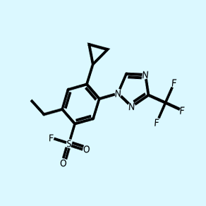 CCc1cc(C2CC2)c(-n2cnc(C(F)(F)F)n2)cc1S(=O)(=O)F